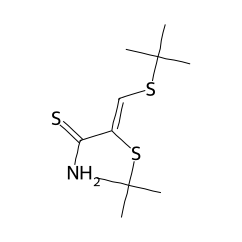 CC(C)(C)SC=C(SC(C)(C)C)C(N)=S